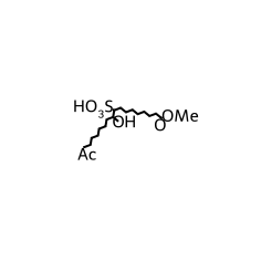 COC(=O)CCCCCCCC(C(O)CCCCCCCC(C)=O)S(=O)(=O)O